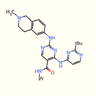 CC(C)NC(=O)c1cnc(Nc2ccc3c(c2)CCN(C)C3)nc1Nc1ccnc(C(C)(C)C)n1